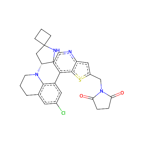 O=C1CCC(=O)N1Cc1cc2nccc(-c3cc(Cl)cc4c3N([C@H]3CNC5(CCC5)C3)CCC4)c2s1